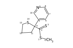 CSC(=S)C1(c2cccnc2)CCCS1